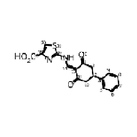 O=C1CC(c2ccccc2)CC(=O)C1=CNc1nc(C(=O)O)cs1